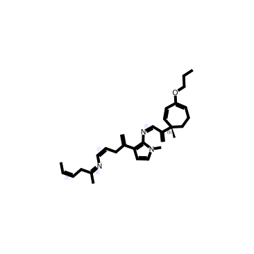 C=C(C/C=C\N=C(\C)C/C=C\C)c1ccn(C)c1/N=C\C(=C)[C@]1(C)C=CC(OCCC)=CCC1